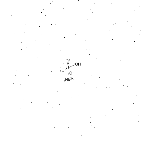 O=P([O-])([O-])O.[Nb+2]